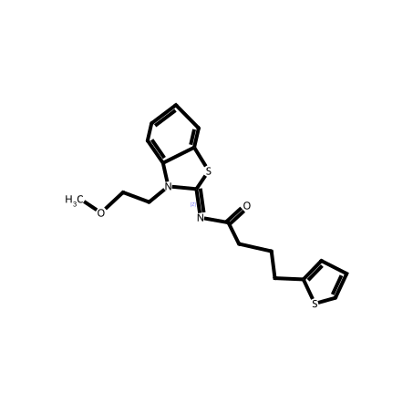 COCCn1/c(=N/C(=O)CCCc2cccs2)sc2ccccc21